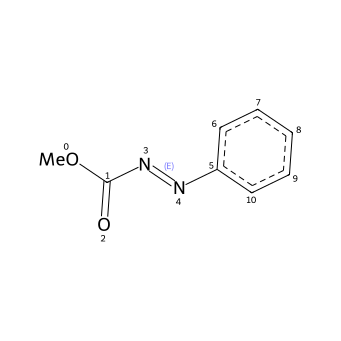 COC(=O)/N=N/c1ccccc1